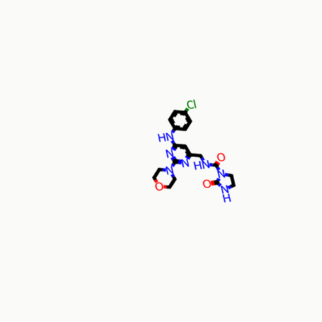 O=C1NCCN1C(=O)NCc1cc(Nc2ccc(Cl)cc2)nc(N2CCOCC2)n1